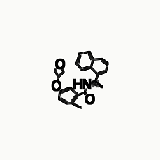 Cc1ccc(OC2COC2)cc1C(=O)N[C@H](C)c1cccc2ccccc12